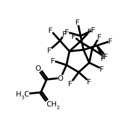 C=C(C)C(=O)OC1(F)C(F)(F)C2(F)C(F)(F)C(F)(F)C1(C(F)(F)F)C2(C(F)(F)F)C(F)(F)F